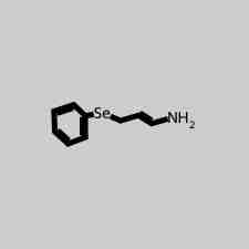 NC=CC[Se]c1ccccc1